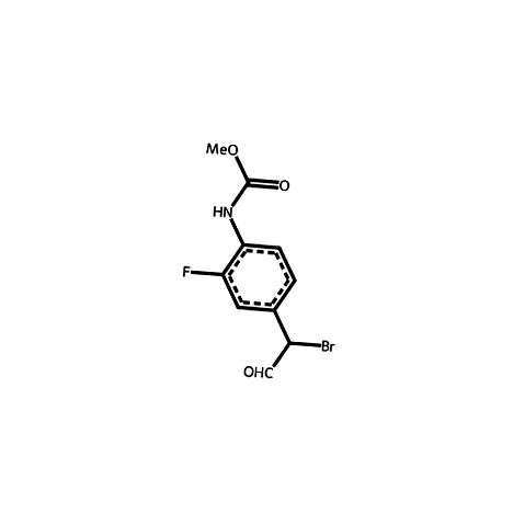 COC(=O)Nc1ccc(C(Br)C=O)cc1F